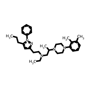 CCCc1cc(CCN(CC)CC(C)N2CCN(c3cccc(C)c3C)CC2)nn1-c1ccccc1